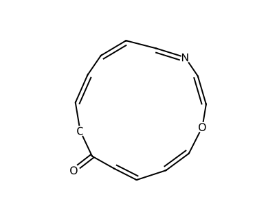 O=C1C=CC=COC=CN=CC=CC=CC1